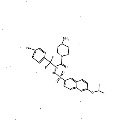 CC(C)Oc1ccc2cc(S(=O)(=O)N[C@H](C(=O)N3CCC(N)CC3)C(F)(F)c3ccc(Br)cc3)ccc2c1